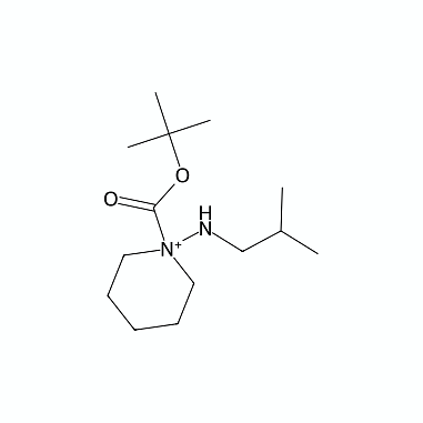 CC(C)CN[N+]1(C(=O)OC(C)(C)C)CCCCC1